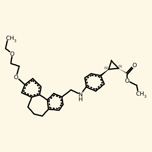 CCOCCOc1ccc2c(c1)CCCc1ccc(CNc3ccc([C@H]4C[C@@H]4C(=O)OCC)cc3)cc1-2